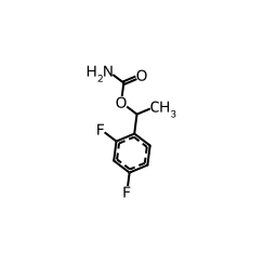 CC(OC(N)=O)c1ccc(F)cc1F